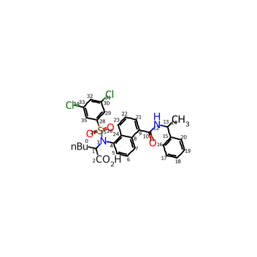 CCCCC(C(=O)O)N(c1cccc2c(C(=O)NC(C)c3ccccc3)cccc12)S(=O)(=O)c1cc(Cl)cc(Cl)c1